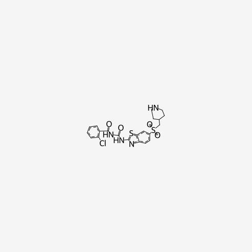 O=C(NC(=O)c1ccccc1Cl)Nc1nc2ccc(S(=O)(=O)CC3CCNCC3)cc2s1